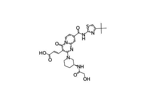 CC(C)(C)c1csc(NC(=O)c2ccn3c(=O)c(C=CC(=O)O)c(N4CCC[C@H](NC(=O)CO)C4)nc3c2)n1